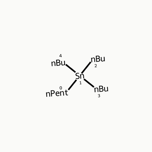 CCCC[CH2][Sn]([CH2]CCC)([CH2]CCC)[CH2]CCC